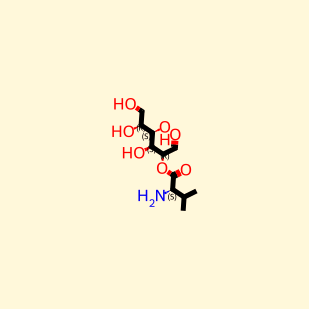 CC(C)[C@H](N)C(=O)O[C@@H](C=O)[C@@H](O)[C@@H](O)[C@H](O)CO